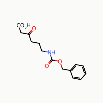 O=C(O)CC(=O)CCCNC(=O)OCc1ccccc1